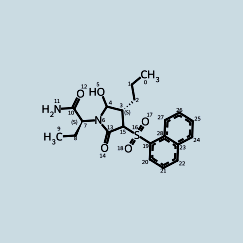 CCC[C@H]1C(O)N([C@@H](CC)C(N)=O)C(=O)C1S(=O)(=O)c1cccc2ccccc12